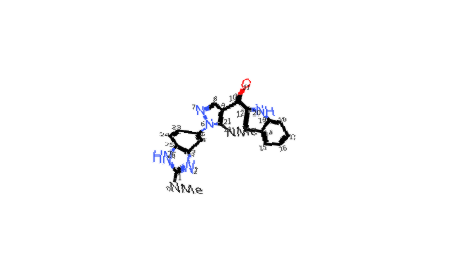 CNc1nc2cc(-n3ncc(C(=O)c4cc5ccccc5[nH]4)c3NC)ccc2[nH]1